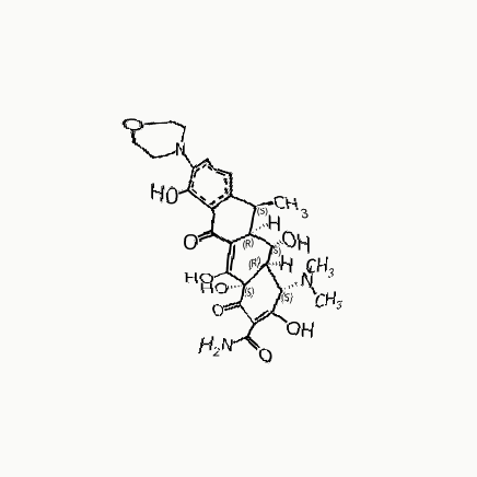 C[C@@H]1c2ccc(N3CCOCC3)c(O)c2C(=O)C2=C(O)[C@]3(O)C(=O)C(C(N)=O)=C(O)[C@@H](N(C)C)[C@@H]3[C@@H](O)[C@@H]21